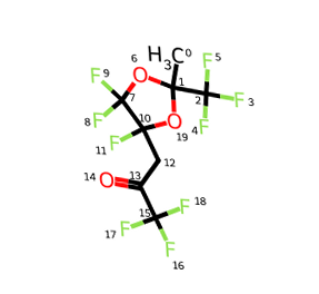 CC1(C(F)(F)F)OC(F)(F)C(F)(CC(=O)C(F)(F)F)O1